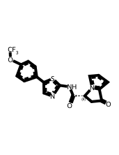 O=C1C[C@H](C(=O)Nc2ncc(-c3ccc(OC(F)(F)F)cc3)s2)n2cccc21